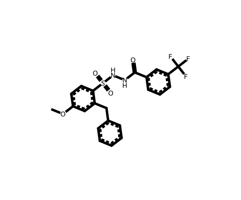 COc1ccc(S(=O)(=O)NNC(=O)c2cccc(C(F)(F)F)c2)c(Cc2ccccc2)c1